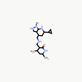 CC1CC(C)C(CNCC2CC(C3CC3)NC3C2CNN3C(C)C)C(=O)N1